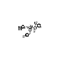 COc1ccc(CC2CC(C(=O)NCc3ccc4c(c3)nnn4C)N(C(=O)C3CC(c4cnccc4C(F)(F)F)CN3)C2)cc1